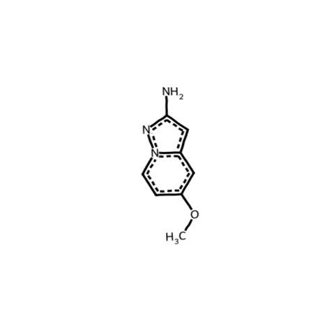 COc1ccn2nc(N)cc2c1